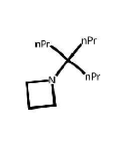 CCCC(CCC)(CCC)N1CCC1